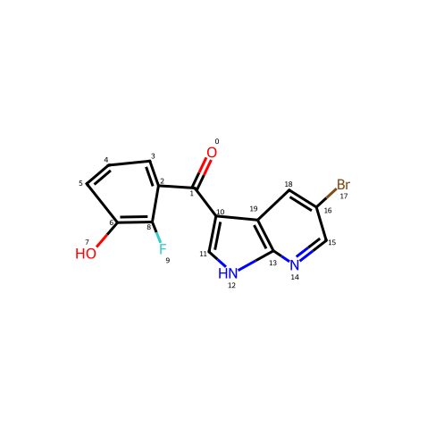 O=C(c1cccc(O)c1F)c1c[nH]c2ncc(Br)cc12